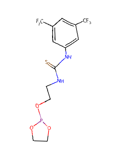 FC(F)(F)c1cc(NC(=S)NCCOP2OCCO2)cc(C(F)(F)F)c1